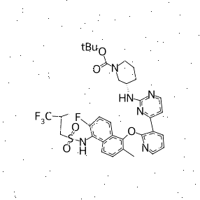 Cc1ccc2c(NS(=O)(=O)CC(C)C(F)(F)F)c(F)ccc2c1Oc1ncccc1-c1ccnc(N[C@H]2CCCN(C(=O)OC(C)(C)C)C2)n1